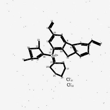 C=Cc1ccc2c(c1)-c1cc(C=C)c[c]([Zr+2]([C]3=CC(C)=CC3C)=[C]3CCCCC3)c1C2.[Cl-].[Cl-]